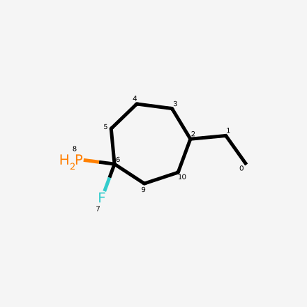 CCC1CCCC(F)(P)CC1